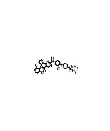 CN(C)C1CCN(c2ccc(Nc3ncc4c(=O)n(-c5c(Cl)cccc5Cl)n5ccnc5c4n3)cc2Cl)CC1